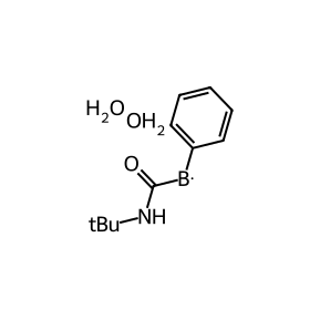 CC(C)(C)NC(=O)[B]c1ccccc1.O.O